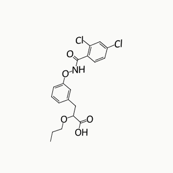 CCCOC(Cc1cccc(ONC(=O)c2ccc(Cl)cc2Cl)c1)C(=O)O